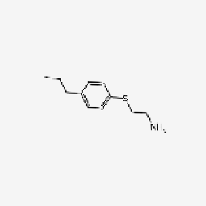 CCCc1ccc(SCCN)cc1